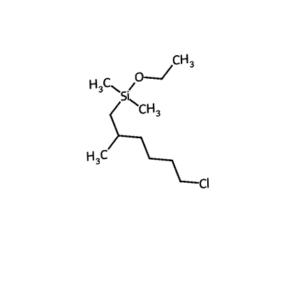 CCO[Si](C)(C)CC(C)CCCCCl